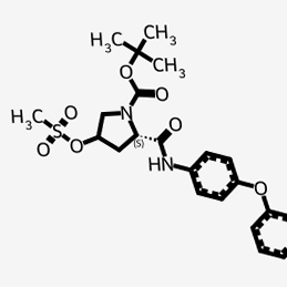 CC(C)(C)OC(=O)N1CC(OS(C)(=O)=O)C[C@H]1C(=O)Nc1ccc(Oc2ccccc2)cc1